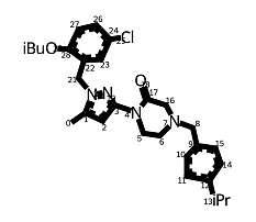 Cc1cc(N2CCN(Cc3ccc(C(C)C)cc3)CC2=O)nn1Cc1cc(Cl)ccc1OCC(C)C